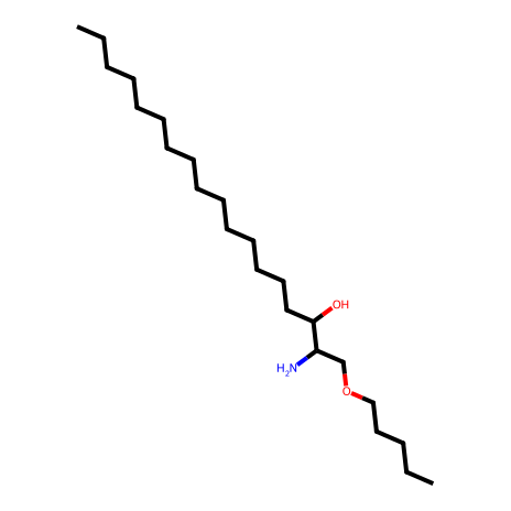 CCCCCCCCCCCCCCCC(O)C(N)COCCCCC